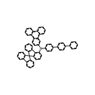 c1ccc(-c2ccc(-c3ccc(N(c4ccc5c6ccccc6c6ccccc6c5c4)c4cccc5c4-c4ccccc4C54c5ccccc5-c5ccccc54)cc3)cc2)cc1